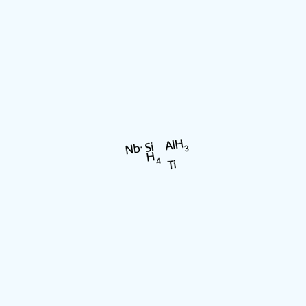 [AlH3].[Nb].[SiH4].[Ti]